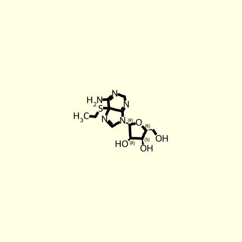 CCSC12N=CN([C@@H]3O[C@H](CO)[C@@H](O)[C@H]3O)C1=NCN=C2N